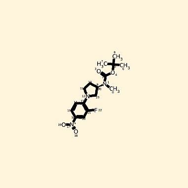 CN(C(=O)OC(C)(C)C)[C@@H]1CCN(c2ccc([N+](=O)[O-])cc2F)C1